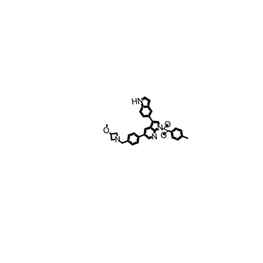 COC1CN(Cc2ccc(-c3cnc4c(c3)c(-c3ccc5[nH]ccc5c3)cn4S(=O)(=O)c3ccc(C)cc3)cc2)C1